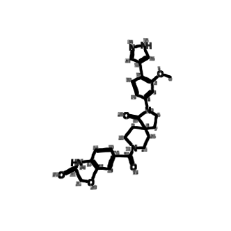 COc1cc(N2CCC3(CCN(C(=O)c4ccc5c(c4)OCC(=O)N5)CC3)C2=O)ccc1-c1cn[nH]c1